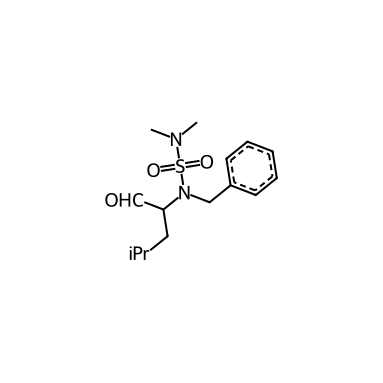 CC(C)CC(C=O)N(Cc1ccccc1)S(=O)(=O)N(C)C